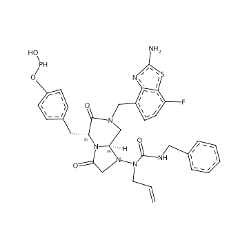 C=CCN(C(=O)NCc1ccccc1)N1CC(=O)N2[C@H](Cc3ccc(OPO)cc3)C(=O)N(Cc3ccc(F)c4sc(N)nc34)C[C@H]21